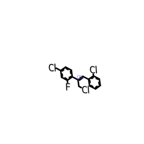 Fc1cc(Cl)ccc1/C(=C/c1ccccc1Cl)CCl